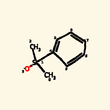 C[Si](C)([O])c1cc[c]cc1